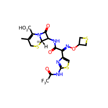 CC1=C(C(=O)O)N2C(=O)C(NC(=O)C(=NOC3CSC3)c3csc(NC(=O)C(F)(F)F)n3)[C@@H]2SC1